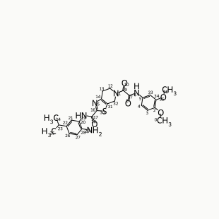 COc1ccc(NC(=O)C(=O)N2CCc3nc(C(=O)Nc4cc(C(C)C)ccc4N)sc3C2)cc1OC